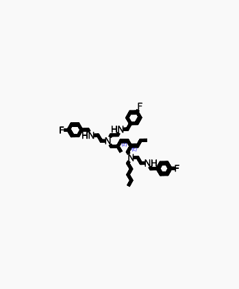 CC/C=C(\C=C/C(C)CN(CCNCC1C=CC(F)=CC1)CCNCC1C=CC(F)=CC1)CN(CCCCC)CCNCc1ccc(F)cc1